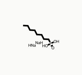 CCCCCCCCP(=O)(O)O.[NaH].[NaH]